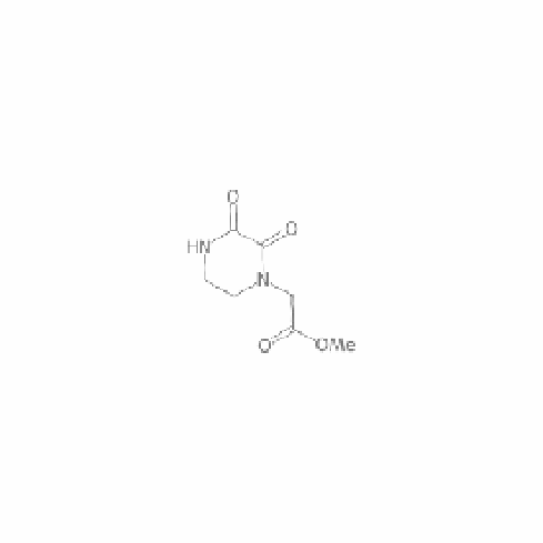 COC(=O)CN1CCNC(=O)C1=O